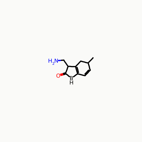 CC1C=CC2=C(C1)C(CN)C(=O)B2